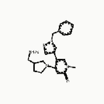 CC(=O)NCC1CCN(c2cc(=O)n(C)cc2-c2cnn(Cc3ccccc3)c2)C1